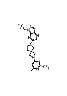 Cc1cc(N2CC3(CCN(c4cnc5cnn(CC(F)(F)F)c5n4)C3)C2)nc(C(F)(F)F)n1